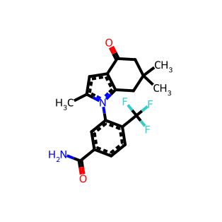 Cc1cc2c(n1-c1cc(C(N)=O)ccc1C(F)(F)F)CC(C)(C)CC2=O